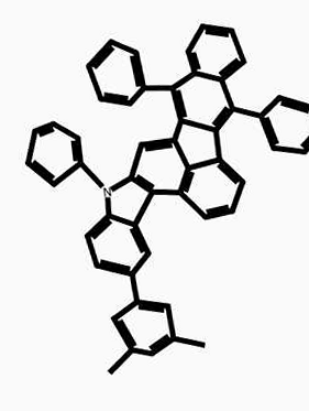 Cc1cc(C)cc(-c2ccc3c(c2)c2c4cccc5c4c(cc2n3-c2ccccc2)-c2c-5c(-c3ccccc3)c3ccccc3c2-c2ccccc2)c1